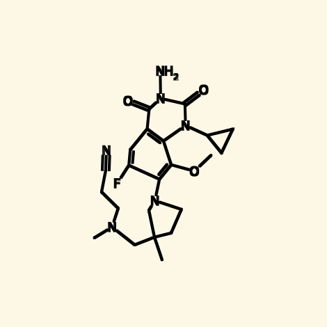 COc1c(N2CCC(C)(CN(C)CCC#N)C2)c(F)cc2c(=O)n(N)c(=O)n(C3CC3)c12